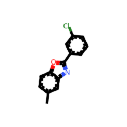 Cc1ccc2oc(-c3cccc(Cl)c3)nc2c1